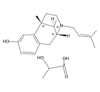 CC(C)=CCN1CC[C@@]2(C)c3cc(O)ccc3C[C@@H]1[C@@H]2C.CC(O)C(=O)O